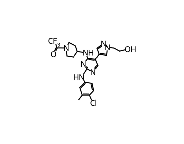 Cc1cc(Nc2ncc(-c3cnn(CCO)c3)c(NC3CCN(C(=O)C(F)(F)F)CC3)n2)ccc1Cl